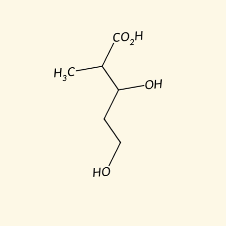 CC(C(=O)O)C(O)CCO